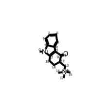 Cn1c2c(c3ccccc31)C(=O)C(C[N+](C)(C)C)CC2